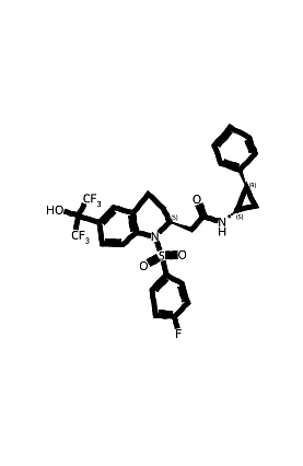 O=C(C[C@@H]1CCc2cc(C(O)(C(F)(F)F)C(F)(F)F)ccc2N1S(=O)(=O)c1ccc(F)cc1)N[C@H]1C[C@@H]1c1ccccc1